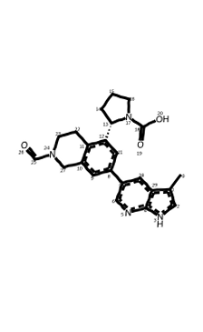 Cc1c[nH]c2ncc(-c3cc4c(c([C@@H]5CCCN5C(=O)O)c3)CCN(C=O)C4)cc12